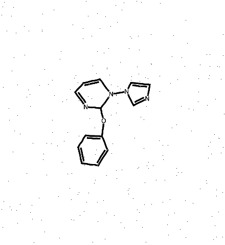 C1=CN(n2ccnc2)C(Oc2ccccc2)N=C1